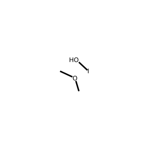 COC.OI